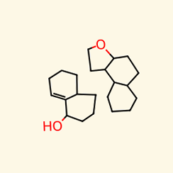 C1CCC2C(C1)CCC1OCCC12.OC1CCCC2CCCC=C12